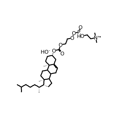 CC(C)CCC[C@@H](C)[C@H]1CCC2C3CC=C4C[C@@H](OC(=O)OCCOO[PH](=O)OCC[N+](C)(C)C)CC[C@]4(C)C3CC[C@@]21C.[OH-]